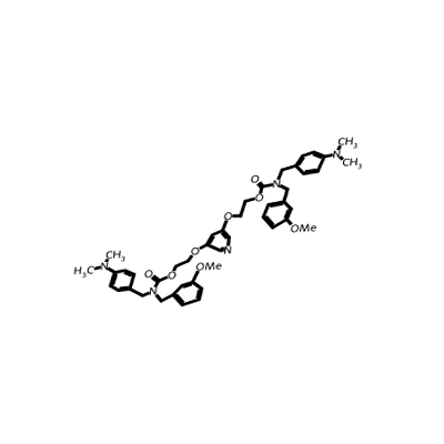 COc1cccc(CN(Cc2ccc(N(C)C)cc2)C(=O)OCCOc2cncc(OCCOC(=O)N(Cc3ccc(N(C)C)cc3)Cc3cccc(OC)c3)c2)c1